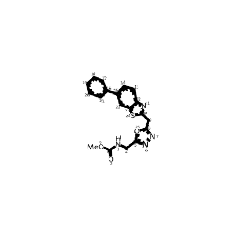 COC(=O)NCc1nnc(Cc2nc3ccc(-c4ccccc4)cc3s2)o1